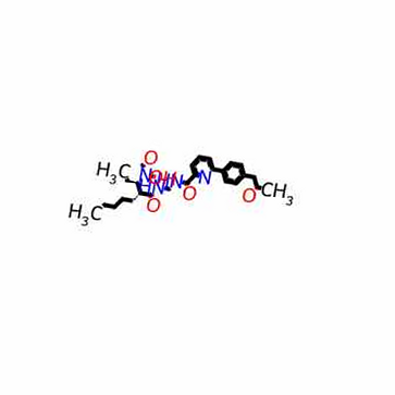 CCCCC[C@@H](C(=O)NCNC(=O)c1cccc(-c2ccc(CC(C)=O)cc2)n1)[C@@H](CC)N(O)C=O